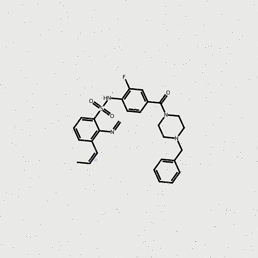 C=Nc1c(/C=C\C)cccc1S(=O)(=O)Nc1ccc(C(=O)N2CCN(Cc3ccccc3)CC2)cc1F